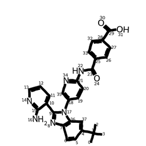 CC(C)(C)c1ccc2nc(-c3cccnc3N)n(-c3ccc(NC(=O)c4ccc(C(=O)O)cc4)nc3)c2c1